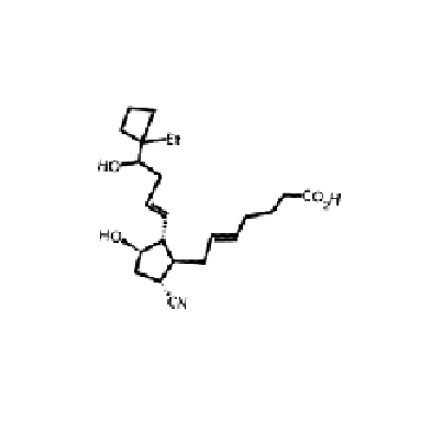 CCC1(C(O)C/C=C/[C@@H]2[C@@H](CC=CCCCC(=O)O)[C@H](C#N)C[C@H]2O)CCC1